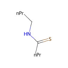 CCCCNC(=S)CCC